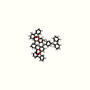 c1ccc(-c2cccc(-c3ccccc3)c2N2c3cc(-n4c5ccccc5c5ccccc54)ccc3B3c4ccc(-n5c6ccccc6c6ccccc65)cc4Oc4cc(-n5c6ccccc6c6ccccc65)cc2c43)cc1